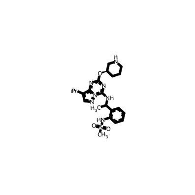 CC(C)c1cnn2c(NC(C)c3ccccc3NS(C)(=O)=O)nc(O[C@@H]3CCCNC3)nc12